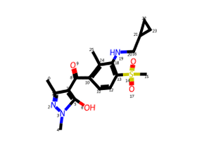 Cc1nn(C)c(O)c1C(=O)c1ccc(S(C)(=O)=O)c(NCC2CC2)c1C